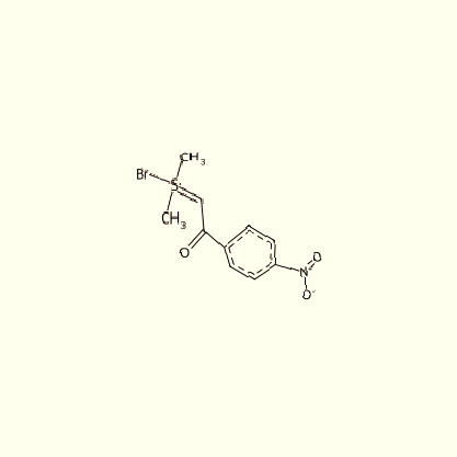 C[S](C)(Br)=CC(=O)c1ccc([N+](=O)[O-])cc1